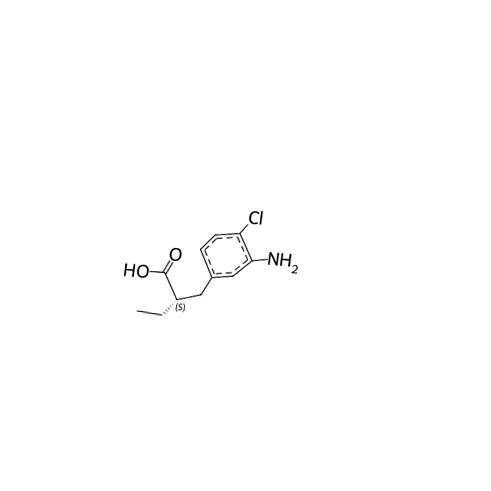 CC[C@@H](Cc1ccc(Cl)c(N)c1)C(=O)O